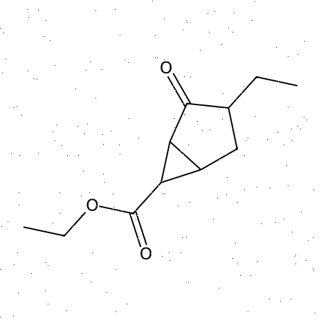 CCOC(=O)C1C2CC(CC)C(=O)C21